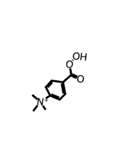 C[N+](C)(C)c1ccc(C(=O)OO)cc1